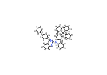 c1ccc(-c2ccc(-c3nc(-n4c5ccccc5c5c6c(ccc54)C(c4ccccc4)(c4ccccc4)c4ccccc4-6)nc4ccccc34)cc2)cc1